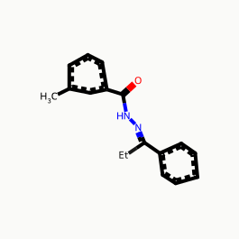 CC/C(=N\NC(=O)c1cccc(C)c1)c1ccccc1